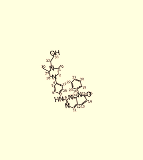 CC1CN(c2ccc(Nc3ncc4ccc(=O)n(-c5ccccc5)c4n3)cc2)CC(C)N1CCO